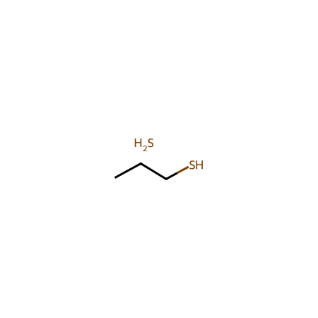 CCCS.S